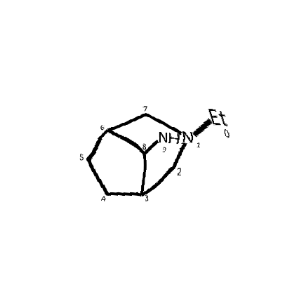 CCN1CC2CCC(C1)C2N